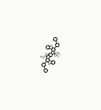 CC1(C)c2cc3c(cc2-c2c1cc(-c1cccc(-c4ccccc4)c1)c1oc4ccccc4c21)C(C)(C)c1cc(-c2cccc(-c4ccccc4)c2)c2oc4ccccc4c2c1-3